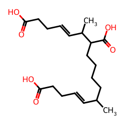 CC(C=CCCC(=O)O)CCCCC(C(=O)O)C(C)C=CCCC(=O)O